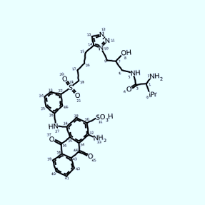 CC(C)C(N)C(=O)NCC(O)Cn1nncc1CCCCS(=O)(=O)c1cccc(Nc2cc(S(=O)(=O)O)c(N)c3c2C(=O)c2ccccc2C3=O)c1